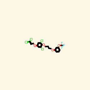 FC(F)(F)Oc1cccc(OCCCCOc2c(Cl)cc(OCC=C(Cl)Cl)cc2Cl)c1